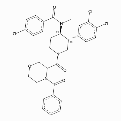 CN(C(=O)c1ccc(Cl)cc1)[C@@H]1CCN(C(=O)C2COCCN2C(=O)c2ccccc2)C[C@H]1c1ccc(Cl)c(Cl)c1